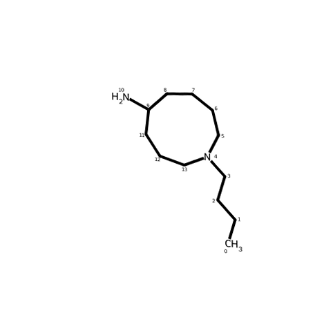 CCCCN1CCCCC(N)CCC1